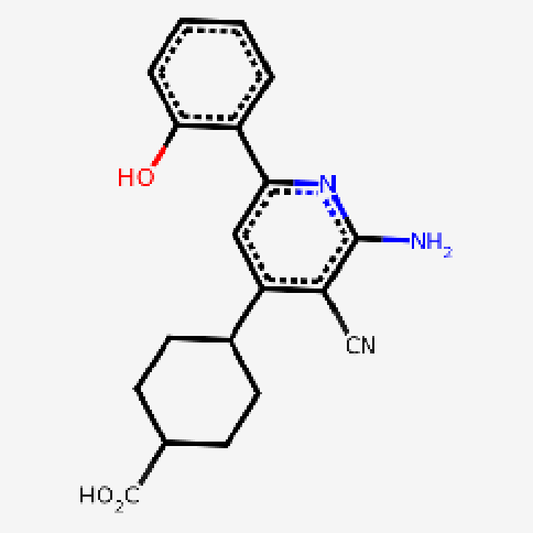 N#Cc1c(C2CCC(C(=O)O)CC2)cc(-c2ccccc2O)nc1N